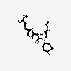 CCOCCN(C(=O)Nc1ncc(SCC(=O)O)s1)[C@H]1CC[C@H](C)CC1